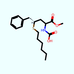 CCCCCCS[C@H](Cc1ccccc1)CC(NC(=O)O)C(=O)OC